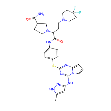 Cc1cc(Nc2nc(Sc3ccc(NC(=O)C(CCN4CCC(F)(F)CC4)N4CCC(C(N)=O)C4)cc3)nc3cccn23)n[nH]1